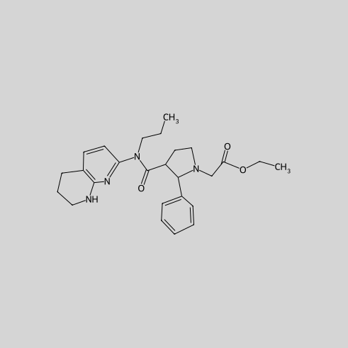 CCCN(C(=O)C1CCN(CC(=O)OCC)C1c1ccccc1)c1ccc2c(n1)NCCC2